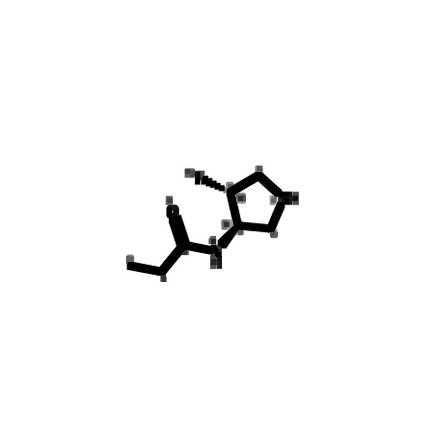 CCC(=O)N[C@@H]1CNC[C@H]1F